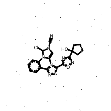 N#CN1C=C2N(c3ccccc3-c3nnc(-c4nc(C5(O)CCCC5)no4)n32)C1Cl